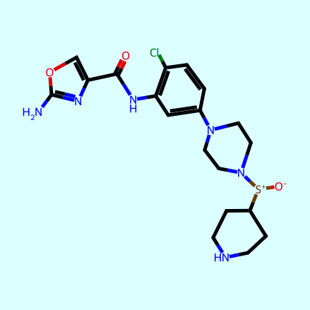 Nc1nc(C(=O)Nc2cc(N3CCN([S+]([O-])C4CCNCC4)CC3)ccc2Cl)co1